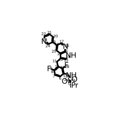 CC(C)S(=O)(=O)Nc1ccc(F)c(Cc2c[nH]c3ncc(-c4cccnc4)cc23)c1F